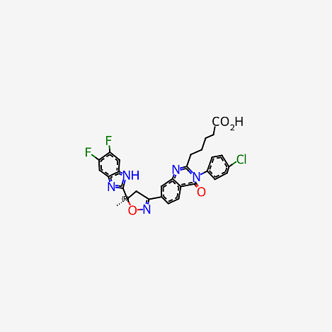 C[C@]1(c2nc3cc(F)c(F)cc3[nH]2)CC(c2ccc3c(=O)n(-c4ccc(Cl)cc4)c(CCCCC(=O)O)nc3c2)=NO1